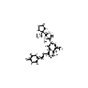 NC1(c2nnc(-c3cc(F)c4[nH]nc(/C=C/c5ccc(F)cc5)c4c3)[nH]2)CCCC1